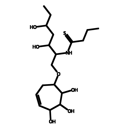 CCCC(=S)NC(COC1CC=CC(O)C(O)C1O)C(O)CC(O)CC